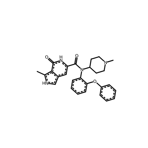 Cc1[nH]cc2cc(C(=O)N(c3ccccc3Oc3ccccc3)C3CCN(C)CC3)[nH]c(=O)c12